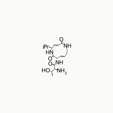 CC(C)[C@H]1/C=C/C(=O)NCC/C=C/[C@H](NC(=O)[C@@H](N)[C@@H](C)O)C(=O)N1